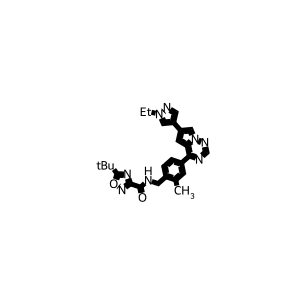 CCn1cc(-c2cc3c(-c4ccc(CNC(=O)c5noc(C(C)(C)C)n5)c(C)c4)ncnn3c2)cn1